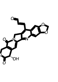 O=C/C=C/c1c2c(nc3cc4c(cc13)OCO4)-c1cc3c(c(=O)n1C2)COC(=O)[C@H]3O